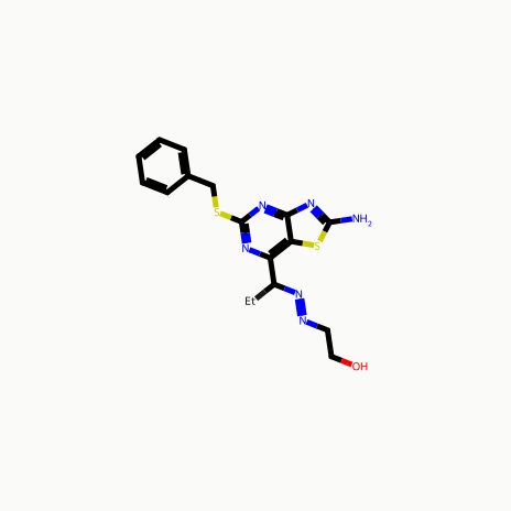 CCC(N=NCCO)c1nc(SCc2ccccc2)nc2nc(N)sc12